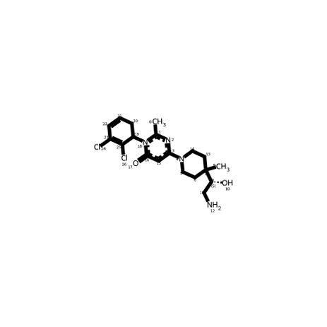 Cc1nc(N2CCC(C)([C@H](O)CN)CC2)cc(=O)n1C1CC=CC(Cl)=C1Cl